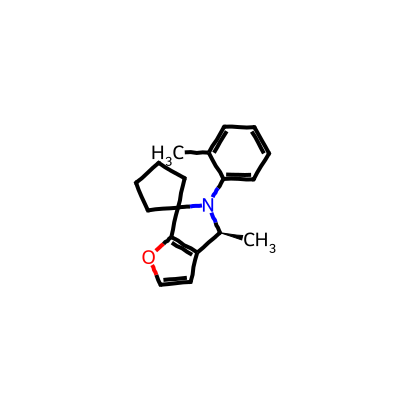 Cc1ccccc1N1[C@@H](C)c2ccoc2C12CCCC2